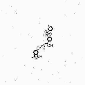 Cc1n[nH]c2cc(OCCNCC(O)c3cccc(NS(=O)(=O)c4cccnc4)c3)ccc12